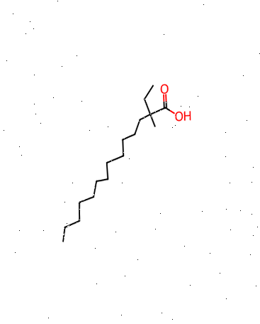 CCCCCCCCCCCCC(C)(CC)C(=O)O